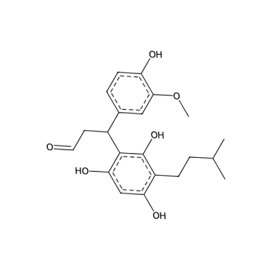 COc1cc(C(CC=O)c2c(O)cc(O)c(CCC(C)C)c2O)ccc1O